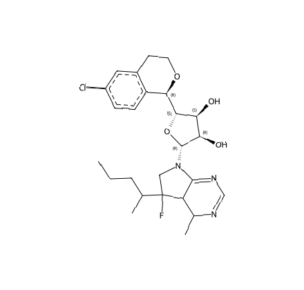 CCCC(C)C1(F)CN([C@@H]2O[C@H]([C@@H]3OCCc4cc(Cl)ccc43)[C@@H](O)[C@H]2O)C2=NC=NC(C)C21